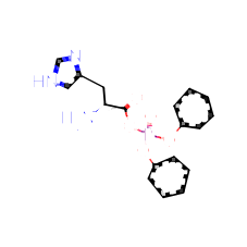 N[C@@H](Cc1c[nH]cn1)C(=O)OP(=O)(Oc1ccccc1)Oc1ccccc1